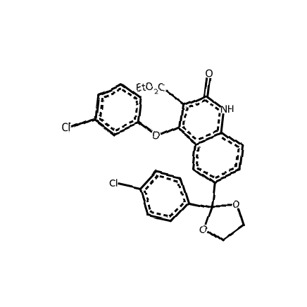 CCOC(=O)c1c(Oc2cccc(Cl)c2)c2cc(C3(c4ccc(Cl)cc4)OCCO3)ccc2[nH]c1=O